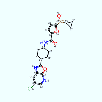 O=C(NC1CCC(c2nc3cc(Cl)cnc3o2)CC1)c1ccc([S+]([O-])C2CC2)o1